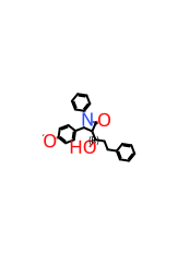 COc1ccc(C2C([C@H](O)CCc3ccccc3)C(=O)N2c2ccccc2)cc1